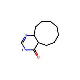 O=C1NC=NC2CCCCCCCC12